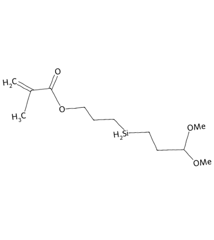 C=C(C)C(=O)OCCC[SiH2]CCC(OC)OC